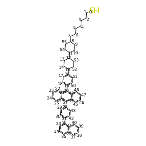 SCCCCCCCC1CCC(C2CCC(c3ccc(-c4c5ccccc5c(-c5ccc(-c6cccc7ccccc67)cc5)c5ccccc45)cc3)CC2)CC1